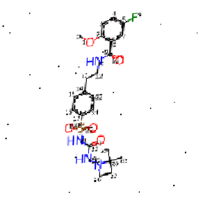 COc1ccc(F)cc1C(=O)NCCc1ccc(S(=O)(=O)NC(=O)NN2CCC2(C)C)cc1